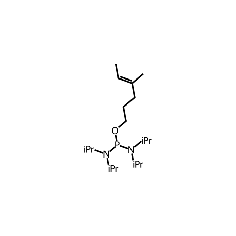 CC=C(C)CCCOP(N(C(C)C)C(C)C)N(C(C)C)C(C)C